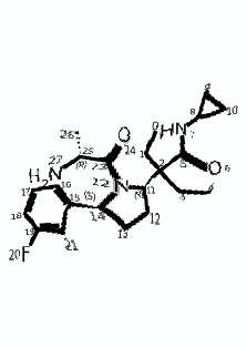 CCC(CC)(C(=O)NC1CC1)[C@H]1CC[C@@H](c2cccc(F)c2)N1C(=O)[C@@H](C)N